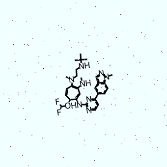 CNC1=C(N(C)CCNC(C)(C)C)C=CC(OC(F)F)C(Nc2nccc(-c3ccc4c(cnn4C)c3)n2)=C1